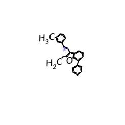 C=Cc1oc2c(-c3ccccc3)cccc2c1/C=C/c1cccc(C)c1